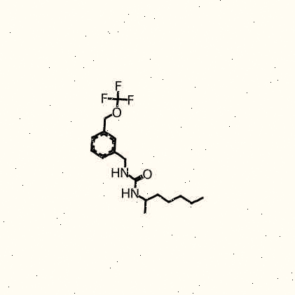 CCCCCC(C)NC(=O)NCc1cccc(COC(F)(F)F)c1